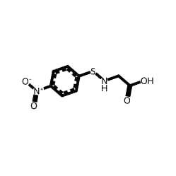 O=C(O)CNSc1ccc([N+](=O)[O-])cc1